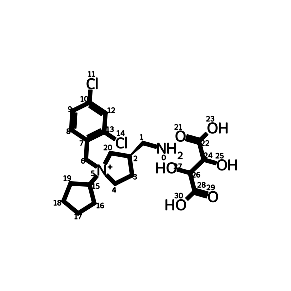 NC[C@H]1CC[N+](Cc2ccc(Cl)cc2Cl)(C2CCCC2)C1.O=C(O)C(O)C(O)C(=O)O